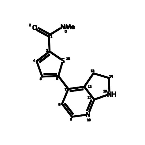 CNC(=O)c1ccc(-c2ccnc3c2CCN3)s1